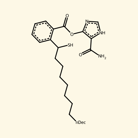 CCCCCCCCCCCCCCCCCC(S)c1ccccc1C(=O)Oc1nc[nH]c1C(N)=O